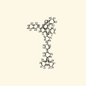 c1ccc(N(c2ccc(-c3ccc(-c4ccc(-n5c6ccccc6c6ccccc65)cc4)cc3)cc2)c2ccc(-c3ccc4ccccc4c3)cc2)c(-c2cccc3oc4ccccc4c23)c1